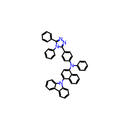 c1ccc(-c2nnc(-c3ccc(N(c4ccccc4)c4ccc(-n5c6ccccc6c6ccccc65)c5ccccc45)cc3)n2-c2ccccc2)cc1